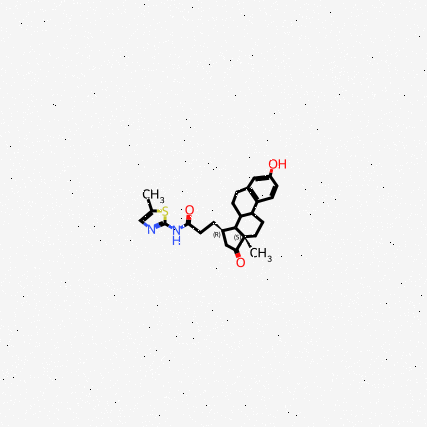 Cc1cnc(NC(=O)CC[C@@H]2CC(=O)[C@@]3(C)CCC4c5ccc(O)cc5CCC4C23)s1